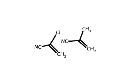 C=C(C)C#N.C=C(Cl)C#N